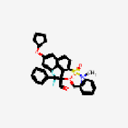 CNS(=O)(=O)c1ccc2cc(OC3CCCC3)ccc2c1C(C=O)(OCc1ccccc1)C(F)(F)c1ccccc1